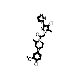 COc1cc(N2CCN(C(=O)Cn3nc(-n4ccnn4)c(Cl)c3C)C(C)C2)ccc1Cl